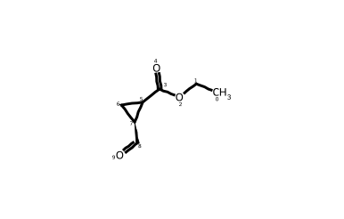 CCOC(=O)C1C[C@@H]1C=O